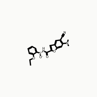 CCOc1ccccc1[S+]([O-])NC(=O)c1cc2cc(C#N)c(N(C)C)cc2o1